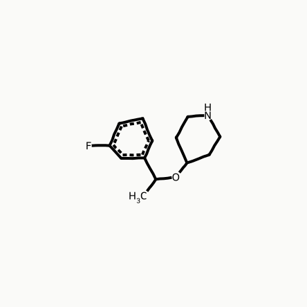 CC(OC1CCNCC1)c1cccc(F)c1